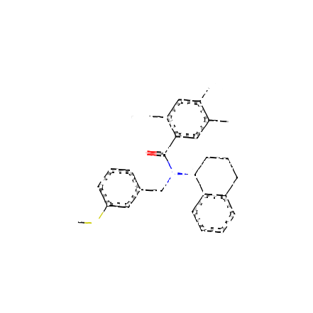 O=C(O)c1cc(C(=O)O)c(C(=O)N(Cc2cccc(SC(F)(F)F)c2)[C@H]2CCCc3ccccc32)cc1C(=O)O